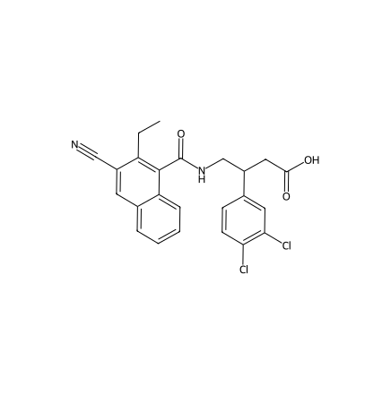 CCc1c(C#N)cc2ccccc2c1C(=O)NCC(CC(=O)O)c1ccc(Cl)c(Cl)c1